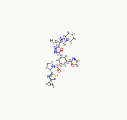 Cc1csc(C2CCCN2C(=O)c2cc(-c3ncco3)cc(-c3nnc(C(C)(N)CC4CCCCC4)o3)c2)n1